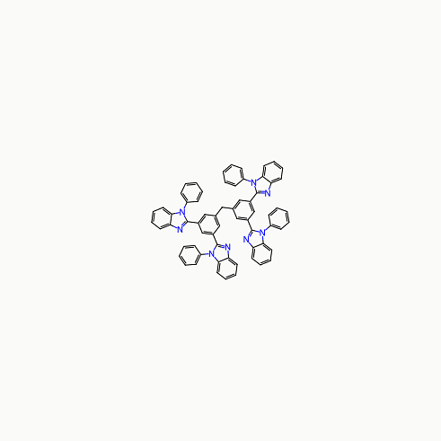 c1ccc(-n2c(-c3cc(Cc4cc(-c5nc6ccccc6n5-c5ccccc5)cc(-c5nc6ccccc6n5-c5ccccc5)c4)cc(-c4nc5ccccc5n4-c4ccccc4)c3)nc3ccccc32)cc1